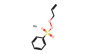 C=CCOOS(=O)(=O)c1ccccc1.[Na]